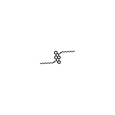 CCCCCCCCCCC#Cc1c2ccccc2c2ccc3c(C#CCCCCCCCCCC)c4ccccc4c4ccc1c2c34